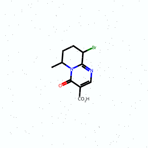 CC1CCC(Br)c2ncc(C(=O)O)c(=O)n21